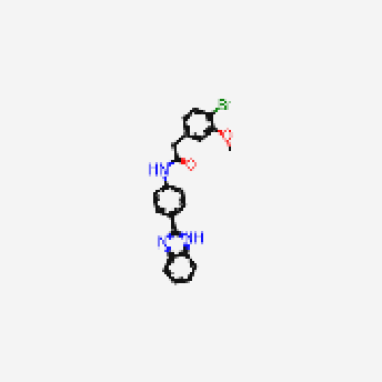 COc1cc(CC(=O)Nc2ccc(-c3nc4ccccc4[nH]3)cc2)ccc1Br